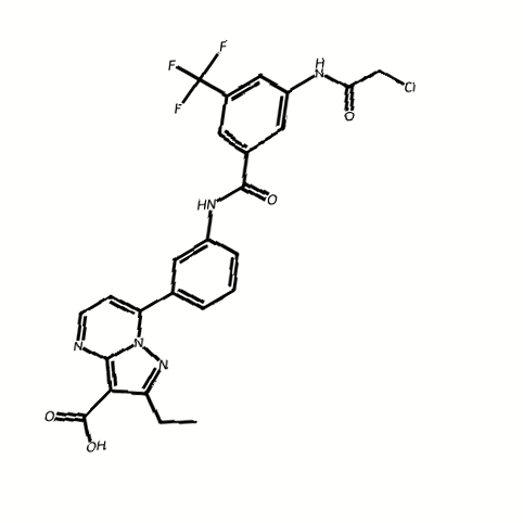 CCc1nn2c(-c3cccc(NC(=O)c4cc(NC(=O)CCl)cc(C(F)(F)F)c4)c3)ccnc2c1C(=O)O